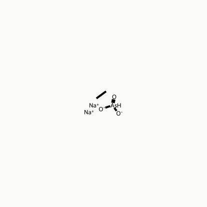 CC.O=[AsH]([O-])[O-].[Na+].[Na+]